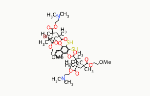 COCCOC(=O)C(C)(C)CC(C)(CC(C)(C)C(=O)Oc1c(S)c(S)c(OC(=O)C(C)(C)CC(C)(CC(C)(Br)C(=O)OCCOC)C(=O)OCCN(C)C)c2ccccc12)C(=O)OCCN(C)C